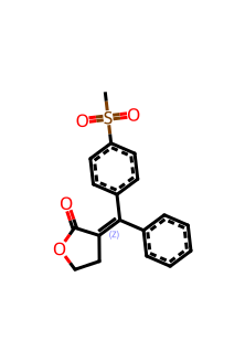 CS(=O)(=O)c1ccc(/C(=C2/CCOC2=O)c2ccccc2)cc1